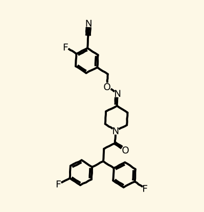 N#Cc1cc(CON=C2CCN(C(=O)CC(c3ccc(F)cc3)c3ccc(F)cc3)CC2)ccc1F